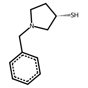 S[C@H]1CCN(Cc2ccccc2)C1